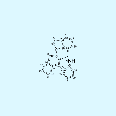 N=Cc1c(C2C=Cc3ccccc32)cc2ccccc2c1-c1ccccc1